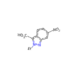 CCn1nc2cc([N+](=O)[O-])ccc2c1C(=O)O